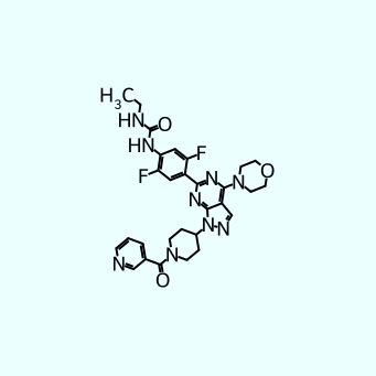 CCNC(=O)Nc1cc(F)c(-c2nc(N3CCOCC3)c3cnn(C4CCN(C(=O)c5cccnc5)CC4)c3n2)cc1F